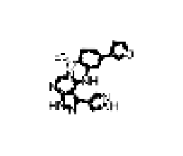 CCOc1ccc(-c2ccoc2)cc1Nc1ncnc2[nH]nc(-c3cn[nH]c3)c12